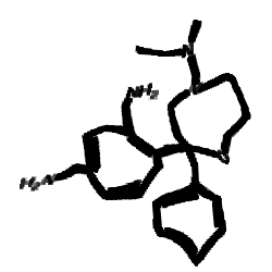 CN(C)N1CCOC(c2ccccc2)(c2ccc(N)cc2N)C1